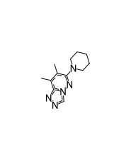 Cc1c(N2CCCCC2)nn2cnnc2c1C